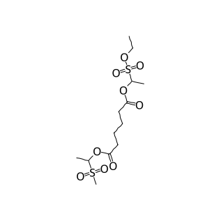 CCOS(=O)(=O)C(C)OC(=O)CCCCC(=O)OC(C)S(C)(=O)=O